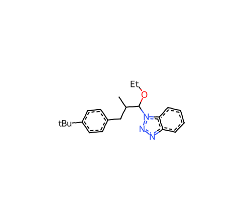 CCOC(C(C)Cc1ccc(C(C)(C)C)cc1)n1nnc2ccccc21